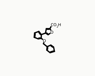 O=C(O)c1cc(-c2ccccc2OCc2ccccc2)co1